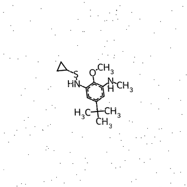 CNc1cc(C(C)(C)C)cc(NSC2CC2)c1OC